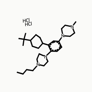 CCCCN1CCN(c2ccc(N3CCN(C)CC3)cc2C2CCC(C(C)(C)C)CC2)CC1.Cl.Cl